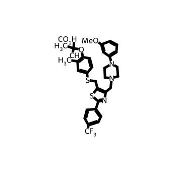 COc1cccc(N2CCN(Cc3nc(-c4ccc(C(F)(F)F)cc4)sc3CSc3ccc(OC(C)(C)C(=O)O)c(C)c3)CC2)c1